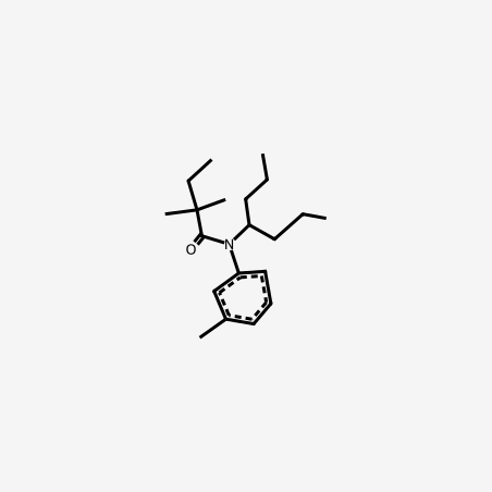 CCCC(CCC)N(C(=O)C(C)(C)CC)c1cccc(C)c1